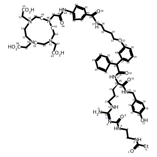 CCC(=O)NCCNC(=O)/N=C(/N)NCCC[C@@H](NC(=O)C(c1ccccc1)c1cccc(OCCCCNC(=O)c2ccc(NC(=O)CN3CCN(CC(=O)O)CCN(CC(=O)O)CCN(CC(=O)O)CC3)cc2)c1)C(=O)NCc1ccc(O)cc1